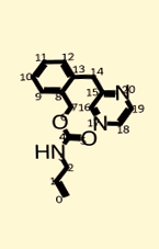 C=CCNC(=O)OCc1ccccc1Cc1cnccn1